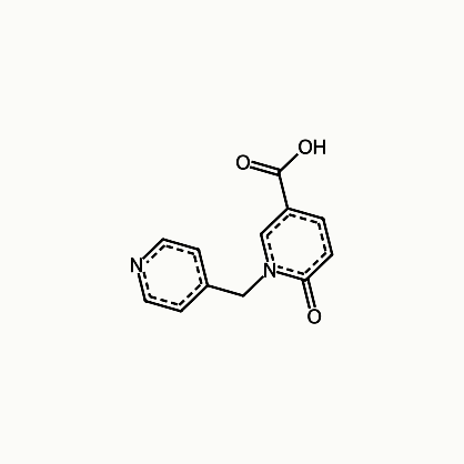 O=C(O)c1ccc(=O)n(Cc2ccncc2)c1